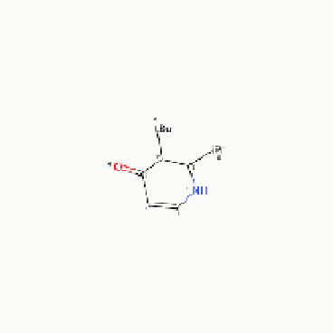 CC(C)C1NC=CC(=O)C1C(C)(C)C